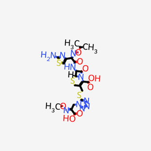 CO/N=C(\Cn1nnnc1SCC1=C(C(=O)O)N2C(=O)C(NC(=O)/C(=N\OC(C)C)c3csc(N)n3)[C@H]2SC1)C(=O)O